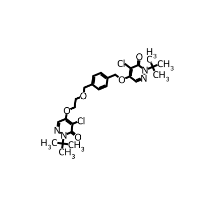 CC(C)(C)n1ncc(OCCOCc2ccc(COc3cnn(C(C)(C)C)c(=O)c3Cl)cc2)c(Cl)c1=O